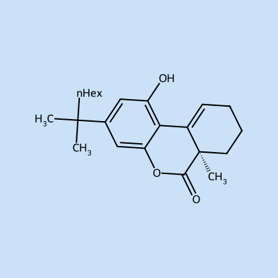 CCCCCCC(C)(C)c1cc(O)c2c(c1)OC(=O)[C@]1(C)CCCC=C21